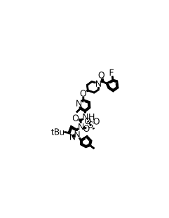 Cc1ccc(-n2nc(C(C)(C)C)cc2N(OS(C)(=O)=O)C(=O)Nc2ccc(OC3CCN(C(=O)c4ccccc4F)CC3)nc2C)cc1